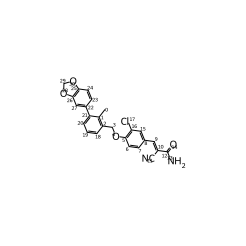 Cc1c(COc2ccc(/C=C(\C#N)C(N)=O)cc2Cl)cccc1-c1ccc2c(c1)OCO2